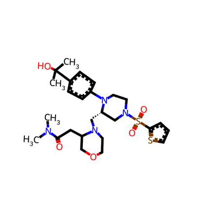 CN(C)C(=O)CC1COCCN1C[C@H]1CN(S(=O)(=O)c2cccs2)CCN1c1ccc(C(C)(C)O)cc1